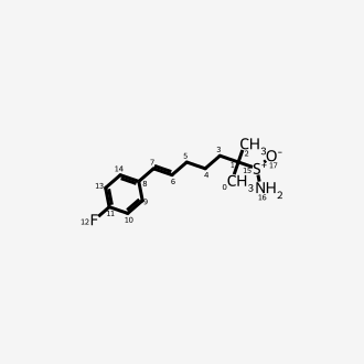 CC(C)(CCCC=Cc1ccc(F)cc1)[S+](N)[O-]